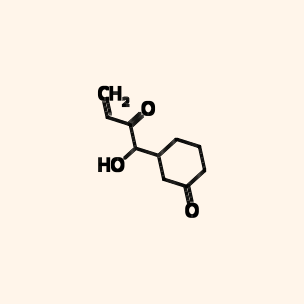 C=CC(=O)C(O)C1CCCC(=O)C1